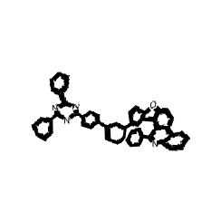 C1=C(c2ccc(-c3nc(-c4ccccc4)nc(-c4ccccc4)n3)cc2)C=C(c2ccc3oc4ccc5c6ccccc6nc(-c6ccccc6)c5c4c3c2)CC1